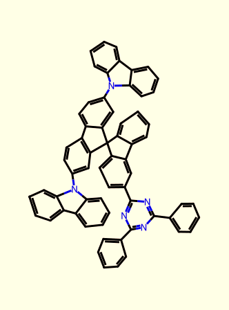 c1ccc(-c2nc(-c3ccccc3)nc(-c3ccc4c(c3)-c3ccccc3C43c4cc(-n5c6ccccc6c6ccccc65)ccc4-c4ccc(-n5c6ccccc6c6ccccc65)cc43)n2)cc1